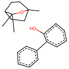 CC12CCC(CC1)C(C)(C)O2.Oc1ccccc1-c1ccccc1